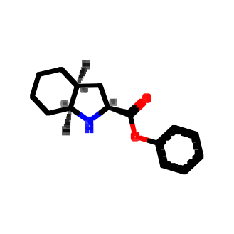 O=C(Oc1ccccc1)[C@@H]1C[C@@H]2CCCC[C@@H]2N1